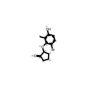 Cc1c(O)ccc(Br)c1OC1CCCC1=O